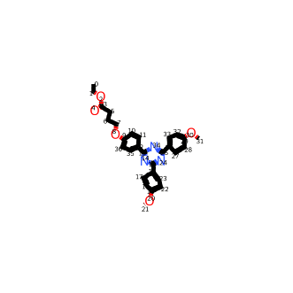 CCOC(=O)CCCOc1ccc(-c2nc(-c3ccc(OC)cc3)nc(-c3ccc(OC)cc3)n2)cc1